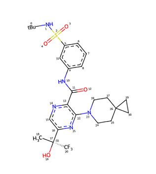 CC(C)(C)NS(=O)(=O)c1cccc(NC(=O)c2ncc([C@](C)(O)C(F)(F)F)nc2N2CCC3(CC2)CC3)c1